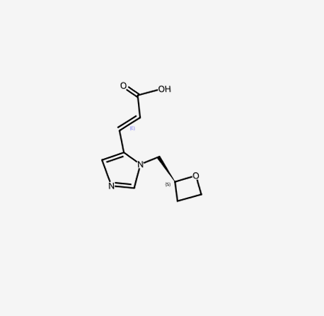 O=C(O)/C=C/c1cncn1C[C@@H]1CCO1